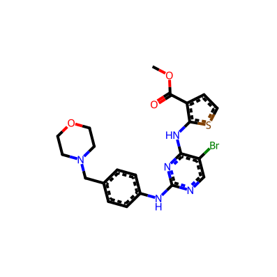 COC(=O)c1ccsc1Nc1nc(Nc2ccc(CN3CCOCC3)cc2)ncc1Br